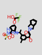 Cc1cc(C(C)Nc2ccccc2C(=O)NS(C)(=O)=O)c2oc(N3Cc4ccccc4C3)cc(=O)c2c1.O=C(O)C(F)(F)F